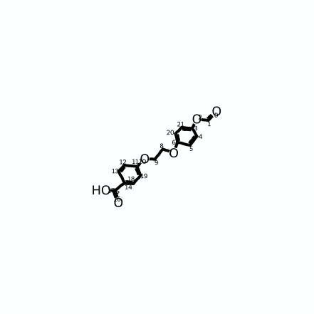 O=COc1ccc(OCCOc2ccc(C(=O)O)cc2)cc1